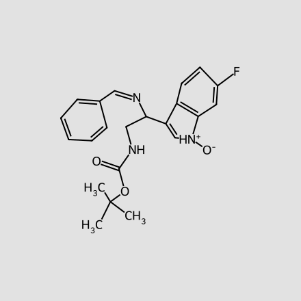 CC(C)(C)OC(=O)NCC(/N=C\c1ccccc1)C1=C[NH+]([O-])c2cc(F)ccc21